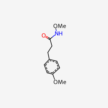 CONC(=O)CCc1ccc(OC)cc1